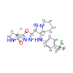 C[C@@]1(c2nnc(-c3nn4c(c3Nc3ccc(C(F)(F)F)cc3)CCCC4)o2)CCNC1=O